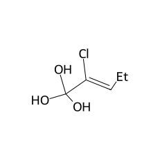 CCC=C(Cl)C(O)(O)O